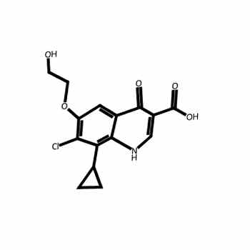 O=C(O)c1c[nH]c2c(C3CC3)c(Cl)c(OCCO)cc2c1=O